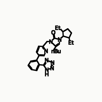 CCCCc1cn(C2C(CC)CCC2CC)c(=O)n1Cc1ccc(-c2ccccc2-c2nnn[nH]2)cn1